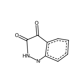 O=C1N[N]c2ccccc2C1=O